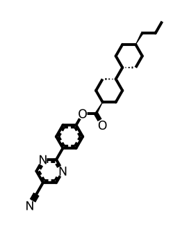 CCC[C@H]1CC[C@H]([C@H]2CC[C@H](C(=O)Oc3ccc(-c4ncc(C#N)cn4)cc3)CC2)CC1